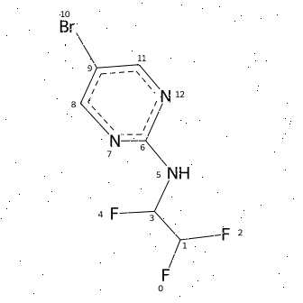 FC(F)C(F)Nc1ncc(Br)cn1